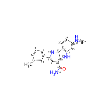 Cc1cccc(-c2cc(C(N)=O)c3[nH]c4cc(NC(C)C)ccc4c3n2)c1